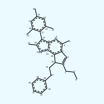 CCCC1=Cc2c(C)nc3c(-c4c(C)cc(C)cc4C)c(C)nn3c2C1CCc1ccccc1